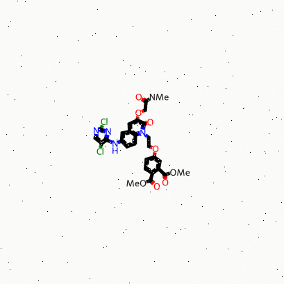 CNC(=O)COc1cc2cc(Nc3nc(Cl)ncc3Cl)ccc2n(CCOc2ccc(C(=O)OC)c(C(=O)OC)c2)c1=O